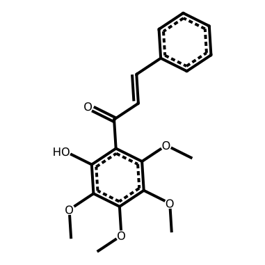 COc1c(O)c(C(=O)/C=C/c2ccccc2)c(OC)c(OC)c1OC